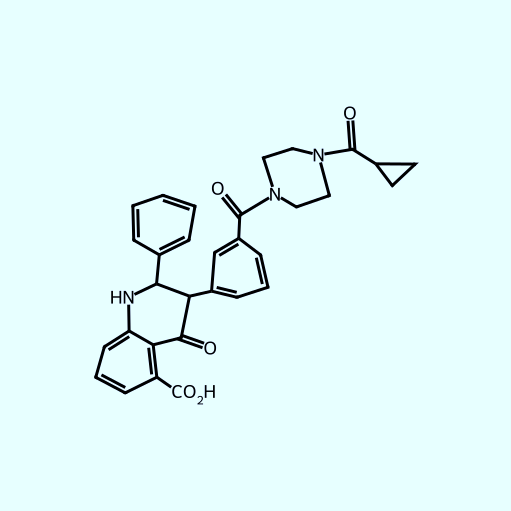 O=C(O)c1cccc2c1C(=O)C(c1cccc(C(=O)N3CCN(C(=O)C4CC4)CC3)c1)C(c1ccccc1)N2